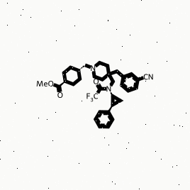 COC(=O)[C@H]1CC[C@H](CN2CCC(Cc3cccc(C#N)c3)(CN(C(=O)C(F)(F)F)[C@@H]3C[C@H]3c3ccccc3)CC2)CC1